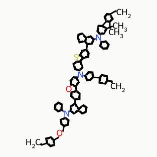 C=Cc1ccc(COCc2ccc(N(c3ccccc3)c3cc(-c4ccc5c(c4)oc4ccc(N(c6ccc(-c7ccc(C=C)cc7)cc6)c6ccc7sc8cc(-c9cc(N(c%10ccccc%10)c%10ccc%11c(c%10)C(C)(C)c%10cc(C=C)ccc%10-%11)cc%10ccccc9%10)ccc8c7c6)cc45)c4ccccc4c3)cc2)cc1